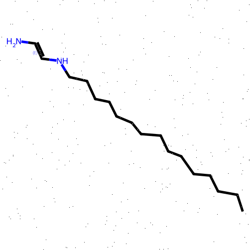 CCCCCCCCCCCCCCCN/C=C/N